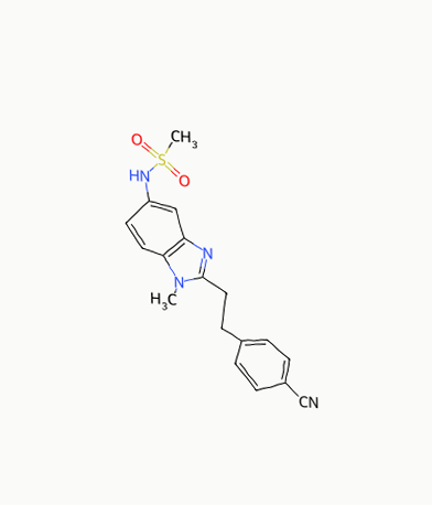 Cn1c(CCc2ccc(C#N)cc2)nc2cc(NS(C)(=O)=O)ccc21